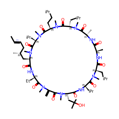 C=C1C(=O)N(C)[C@@H](CC(C)(C)O)C(=O)N[C@H](C(C)C)C(=O)N(C)[C@H](CC(C)C)C(=O)N[C@H](C)C(=O)N[C@@H](C)C(=O)N(C)[C@@H](CC(C)C)C(=O)N(C)[C@H](CCC(C)C)C(=O)N(C)[C@H](C(C)C)C(=O)N(C)[C@H](C[C@H](C)C/C=C/C)C(=O)N[C@H](CC)C(=O)N1C